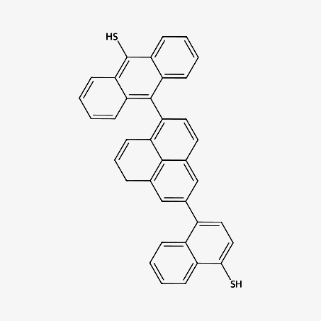 Sc1ccc(-c2cc3c4c(c(-c5c6ccccc6c(S)c6ccccc56)ccc4c2)C=CC3)c2ccccc12